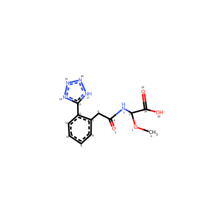 COC(NC(=O)Cc1ccccc1-c1nnn[nH]1)C(=O)O